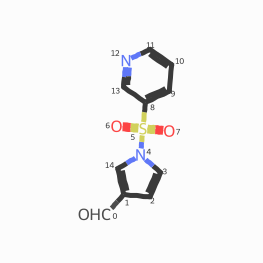 O=Cc1ccn(S(=O)(=O)c2cccnc2)c1